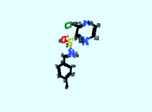 Cc1ccc(C=N[S+]([O-])c2nccnc2Cl)cc1